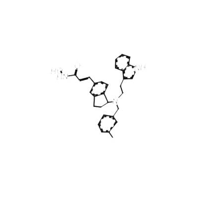 Cc1cccc(CN(CCc2c[nH]c3ccccc23)C2CCc3cc(C=CC(=O)NO)ccc32)c1